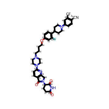 N#Cc1ccc(N2CCC(c3ccc(OCCCCN4CCN(c5ccc6c(n5)CN(C5CCC(=O)NC5=O)C6=O)CC4)cc3F)CC2)cc1C(F)(F)F